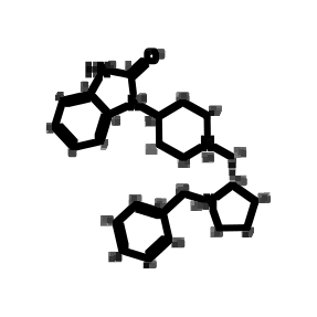 O=c1[nH]c2ccccc2n1C1CCN(C[C@@H]2CCCN2Cc2ccccc2)CC1